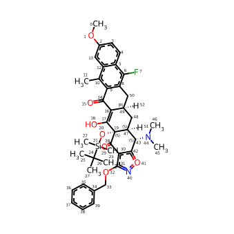 COc1ccc2c(F)c3c(c(C)c2c1)C(=O)C1=C(O)[C@]2(O[Si](C)(C)C(C)(C)C)C(=O)c4c(OCc5ccccc5)noc4[C@@H](N(C)C)[C@@H]2C[C@@H]1C3